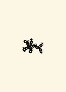 CC(C)(C)c1ccc(N2B3c4cc5oc6ccccc6c5cc4-n4c5cc6c(cc5c5c7c(oc8ccccc87)c(c3c54)-c3cc4c(cc32)oc2cc(N(c3ccc(C(C)(C)C)cc3)c3ccc(C(C)(C)C)cc3)ccc24)C(C)(C)CCC6(C)C)cc1